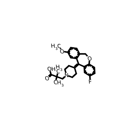 COc1ccc2c(c1)C(=C1CCN(CC(C)(C)C(=O)O)CC1)c1cc(F)ccc1OC2